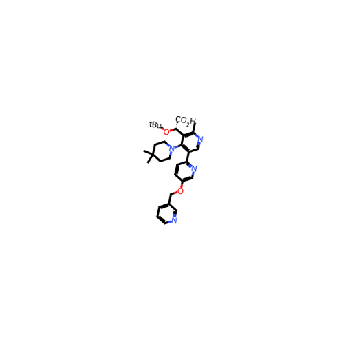 Cc1ncc(-c2ccc(OCc3cccnc3)cn2)c(N2CCC(C)(C)CC2)c1[C@H](OC(C)(C)C)C(=O)O